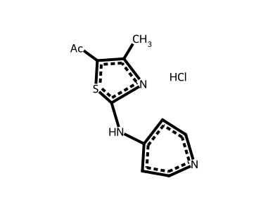 CC(=O)c1sc(Nc2ccncc2)nc1C.Cl